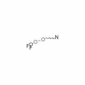 N#CC=CC=CCC[C@H]1CC[C@H](CC[C@H]2CC[C@H](c3ccc(F)c(F)c3)CC2)CC1